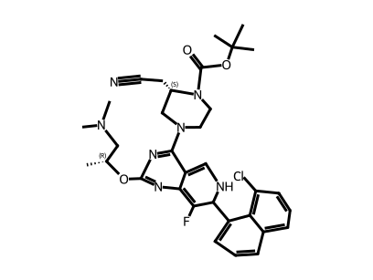 C[C@H](CN(C)C)Oc1nc(N2CCN(C(=O)OC(C)(C)C)[C@@H](CC#N)C2)c2c(n1)=C(F)C(c1cccc3cccc(Cl)c13)NC=2